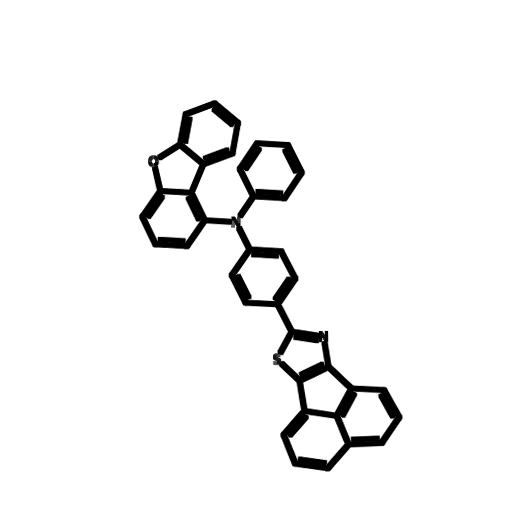 c1ccc(N(c2ccc(-c3nc4c(s3)-c3cccc5cccc-4c35)cc2)c2cccc3oc4ccccc4c23)cc1